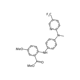 COC(=O)c1cc(OC)ccc1Nc1ccc(N(C)c2ccc(C(F)(F)F)cn2)cc1